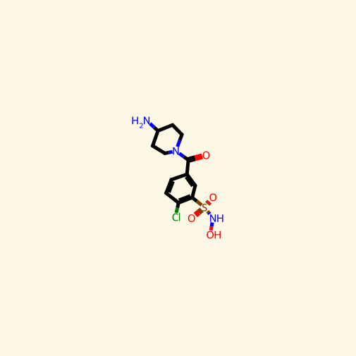 NC1CCN(C(=O)c2ccc(Cl)c(S(=O)(=O)NO)c2)CC1